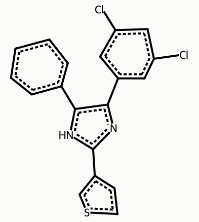 Clc1cc(Cl)cc(-c2nc(-c3ccsc3)[nH]c2-c2ccccc2)c1